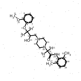 [2H]C([2H])(Oc1ccccc1OC)C(O)CN1CCN(C([2H])([2H])C(=O)Nc2c(C)cccc2C)CC1